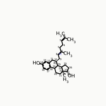 CC(C)=CCC/C(C)=C/C[C@@H]1Cc2cc(O)ccc2C2CC[C@@]3(C)C(CC[C@@H]3O)C21